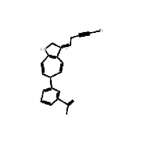 C=C(C)c1cccc(C2C=CC3=C(C=C2)/C(=C/CC#CCC)CN3)c1